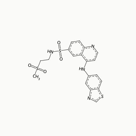 CS(=O)(=O)CCNS(=O)(=O)c1ccc2nccc(Nc3ccc4scnc4c3)c2c1